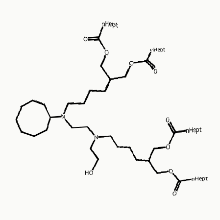 CCCCCCCC(=O)OCC(CCCCN(CCO)CCN(CCCCC(COC(=O)CCCCCCC)COC(=O)CCCCCCC)C1CCCCCCC1)COC(=O)CCCCCCC